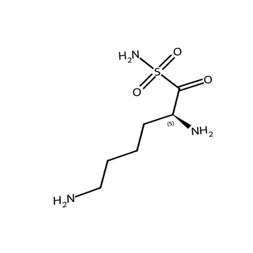 NCCCC[C@H](N)C(=O)S(N)(=O)=O